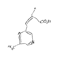 CCOC(=O)/C(F)=C\c1cncc(C)n1